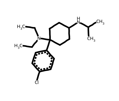 CCN(CC)C1(c2ccc(Cl)cc2)CCC(NC(C)C)CC1